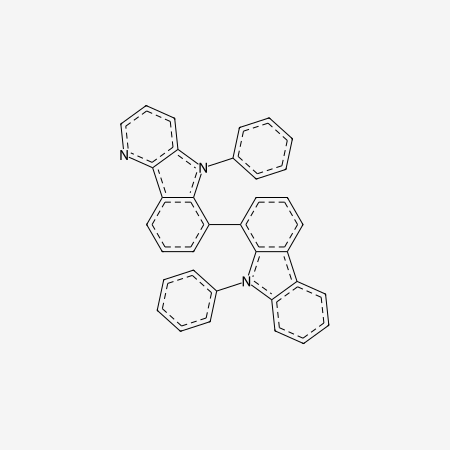 c1ccc(-n2c3ccccc3c3cccc(-c4cccc5c6ncccc6n(-c6ccccc6)c45)c32)cc1